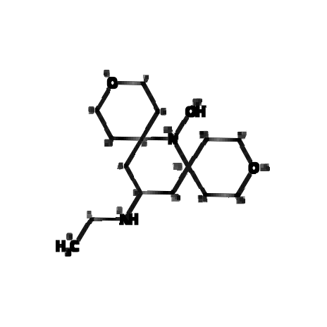 CCNC1CC2(CCOCC2)N(O)C2(CCOCC2)C1